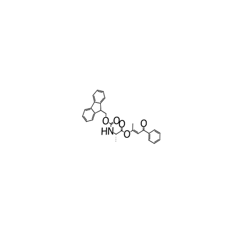 C/C(=C\C(=O)c1ccccc1)OC(=O)[C@H](C)NC(=O)OCC1c2ccccc2-c2ccccc21